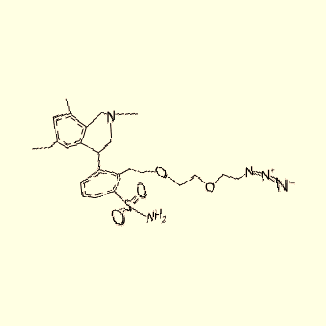 Cc1cc(C)c2c(c1)C(c1cccc(S(N)(=O)=O)c1CCOCCOCCN=[N+]=[N-])CN(C)C2